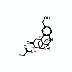 CCC(=O)N[C@H]1C[C@@]2(CO)[C@H]3Cc4ccc(CO)cc4[C@@]2(CCN3)CC1=O